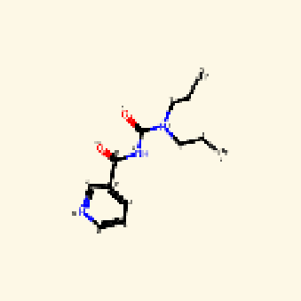 CC(C)CCN(CCC(C)C)C(=O)NC(=O)c1cccnc1